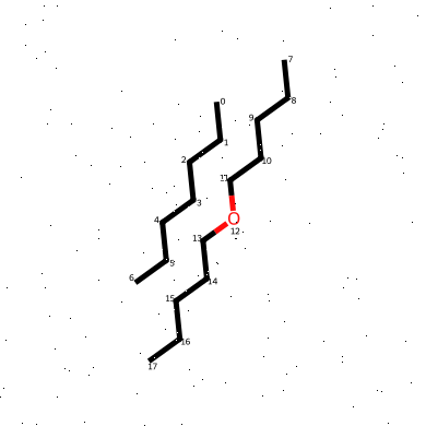 CCCCCCC.CCCCCOCCCCC